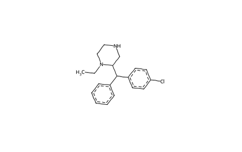 CCN1CCNCC1C(c1ccccc1)c1ccc(Cl)cc1